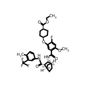 CCOC(=O)[C@H]1CC[C@@H](Oc2cc(C(=O)N[C@@H]3[C@H]4CC[C@H](C4)[C@@H]3C(=O)Nc3ccc(C)c(C(F)(F)F)c3)c(OC)cc2F)CC1